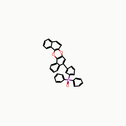 O=P(c1ccccc1)(c1ccccc1)c1cccc(-c2cc3c(c4ccccc24)Oc2c(ccc4ccccc24)O3)c1